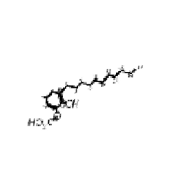 O=C(O)Oc1cccc(CCCCCCCCCCI)c1O